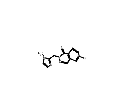 Cn1ccnc1Cn1ncc2cc(Br)ccc2c1=S